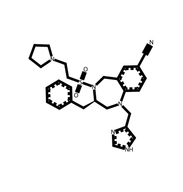 N#Cc1ccc2c(c1)CN(S(=O)(=O)CCN1CCCC1)[C@H](Cc1ccccc1)CN2Cc1c[nH]cn1